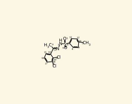 C/C(=N\NS(=O)(=O)c1ccc(C)cc1)c1cccc(Cl)c1Cl